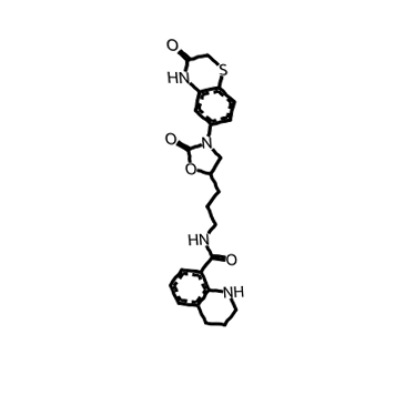 O=C1CSc2ccc(N3CC(CCCNC(=O)c4cccc5c4NCCC5)OC3=O)cc2N1